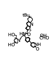 CC(C)(C)[C@H]1CCc2nc3sc(C(=O)N[C@H](CCN4C[C@H](O)C[C@H]4CO)c4ccc(-c5ccc(=O)[nH]c5)cc4)cc3cc2C1.O=CO